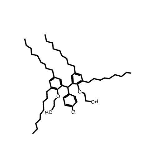 CCCCCCCCCc1cc(CCCCCCCCC)c(OCCO)c(C(c2ccc(Cl)cc2)c2cc(CCCCCCCCC)cc(CCCCCCCCC)c2OCCO)c1